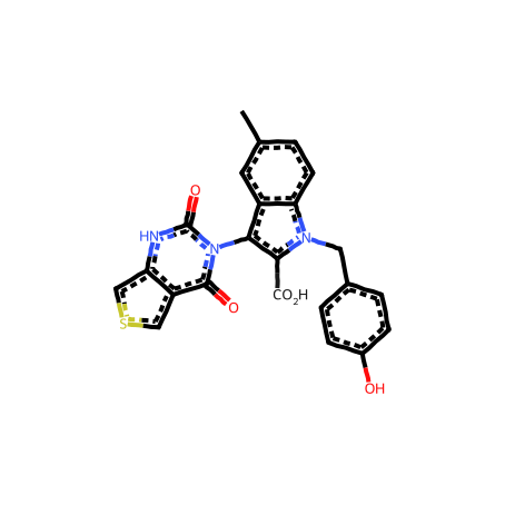 Cc1ccc2c(c1)c(-n1c(=O)[nH]c3cscc3c1=O)c(C(=O)O)n2Cc1ccc(O)cc1